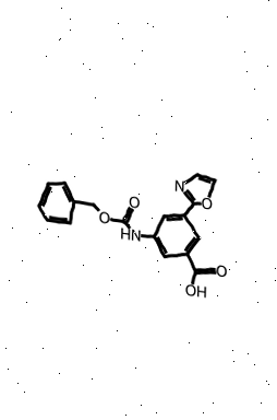 O=C(Nc1cc(C(=O)O)cc(-c2ncco2)c1)OCc1ccccc1